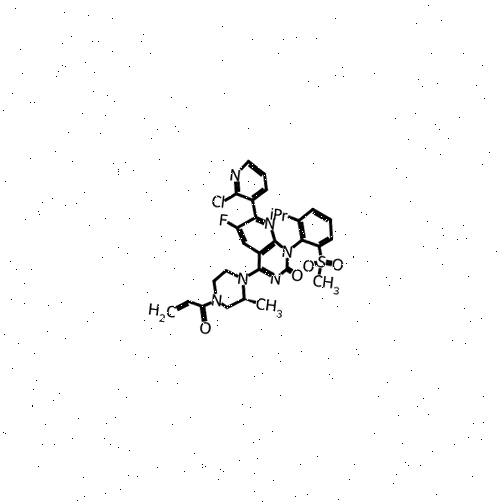 C=CC(=O)N1CCN(c2nc(=O)n(-c3c(C(C)C)cccc3S(C)(=O)=O)c3nc(-c4cccnc4Cl)c(F)cc23)[C@@H](C)C1